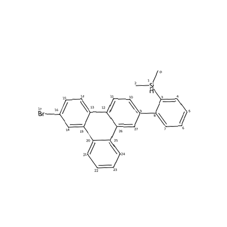 C[SiH](C)c1ccccc1-c1ccc2c3ccc(Br)cc3c3ccccc3c2c1